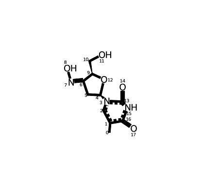 Cc1cn([C@H]2CC(=NO)[C@@H](CO)O2)c(=O)[nH]c1=O